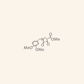 COC(=O)C1CN(Cc2ccc(OC)c(OC)c2)C(=O)C1=O